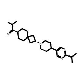 CC(C)c1ncc(C2CCN([C@H]3CC4(CC[C@H](C(=O)C(C)C)CC4)C3)CC2)cn1